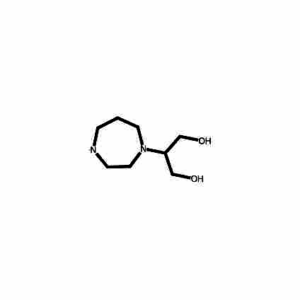 OCC(CO)N1CCC[N]CC1